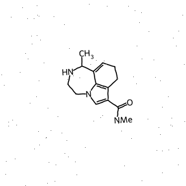 CNC(=O)c1cn2c3c1CCC=C3C(C)NCC2